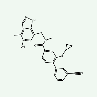 Cc1c2cn[nH]c2c(CN(C)C(=O)c2ccc(-c3cccc(C#N)c3)c(OC3CC3)c2)c[n+]1O